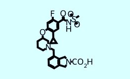 CS(=O)(=O)NC(=O)c1cc(C2CC2)c(OC2CCCN(Cc3cccc4c3CN(C(=O)O)C4)C2)cc1F